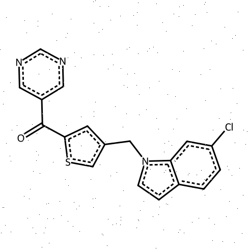 O=C(c1cncnc1)c1cc(Cn2ccc3ccc(Cl)cc32)cs1